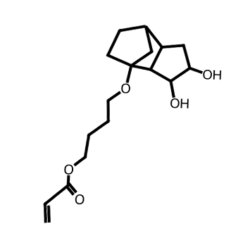 C=CC(=O)OCCCCOC12CCC(C1)C1CC(O)C(O)C12